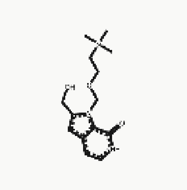 C[Si](C)(C)CCOCn1c(CO)cc2cc[nH]c(=O)c21